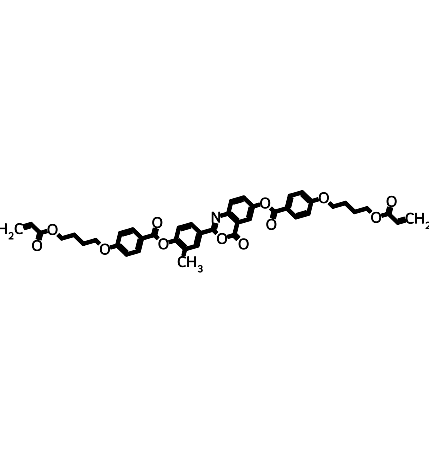 C=CC(=O)OCCCCOc1ccc(C(=O)Oc2ccc3nc(-c4ccc(OC(=O)c5ccc(OCCCCOC(=O)C=C)cc5)c(C)c4)oc(=O)c3c2)cc1